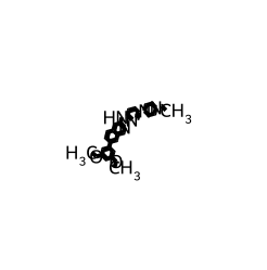 CCN1CCN(c2ccc(Nc3cc4ccc(-c5cc(OC)cc(OC)c5)cc4cn3)nc2)CC1